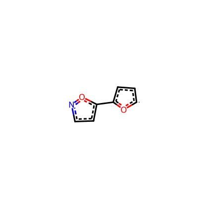 [c]1ccc(-c2ccno2)o1